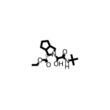 CCOC(=O)[C@@H]1C2CCCC2CN1C(O)C(=O)NC(C)(C)C